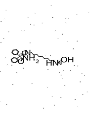 C[C@H](CO)NCCCCCCCCCN1CC[C@@H](C(C(N)=O)(c2ccccc2)c2ccccc2)C1